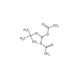 CC(=O)O[Si](OC(C)=O)OC(C)(C)C